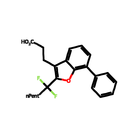 CC[CH]CCC(F)(F)c1oc2c(-c3ccccc3)cccc2c1CCC(=O)O